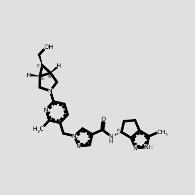 Cc1nc(N2C[C@@H]3[C@@H](CO)[C@@H]3C2)ccc1Cn1cc(C(=O)N[C@@H]2CCc3c2n[nH]c3C)cn1